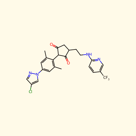 Cc1cc(-n2cc(Cl)cn2)cc(C)c1C1C(=O)CC(CCNc2ccc(C(F)(F)F)cn2)C1=O